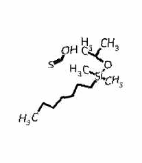 CCCCCCC[Si](C)(C)OC(C)C.OC=S